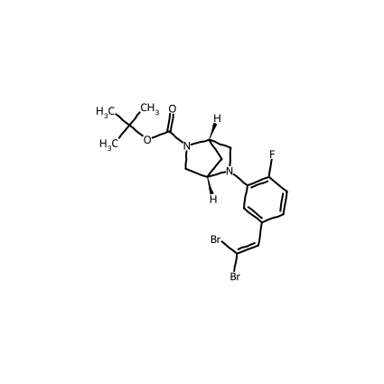 CC(C)(C)OC(=O)N1C[C@@H]2C[C@H]1CN2c1cc(C=C(Br)Br)ccc1F